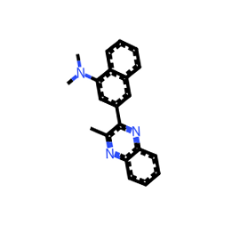 Cc1nc2ccccc2nc1-c1cc(N(C)C)c2ccccc2c1